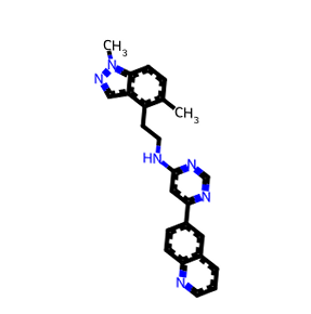 Cc1ccc2c(cnn2C)c1CCNc1cc(-c2ccc3ncccc3c2)ncn1